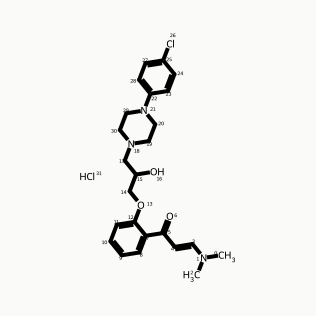 CN(C)C=CC(=O)c1ccccc1OCC(O)CN1CCN(c2ccc(Cl)cc2)CC1.Cl